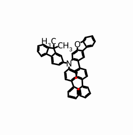 CC1(C)c2ccccc2-c2ccc(N(c3ccc(-c4ccccc4)cc3)c3cc4oc5ccccc5c4cc3-c3ccc(-c4ccccc4)cc3)cc21